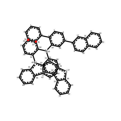 c1ccc(-c2ccc(-c3ccc4ccccc4c3)cc2N(c2ccc3c(c2)sc2ccccc23)c2ccccc2-n2c3ccccc3c3ccccc32)cc1